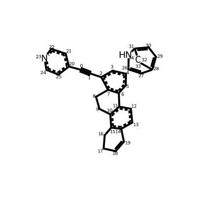 C(#Cc1cccc2c1CCc1c-2ccc2c1CCC=C2)c1ccncc1.C1=CC2=CC=C(CC2)N1